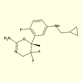 C[C@]1(c2cc(NCC3CC3)ccc2F)OC(N)=NCC1(F)F